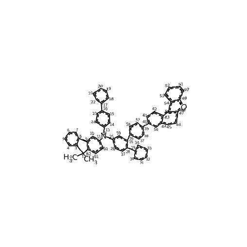 CC1(C)c2ccccc2-c2cc(N(c3ccc(-c4ccccc4)cc3)c3ccc(-c4ccccc4)c(-c4ccc(-c5ccc6c(ccc7oc8ccccc8c76)c5)cc4)c3)ccc21